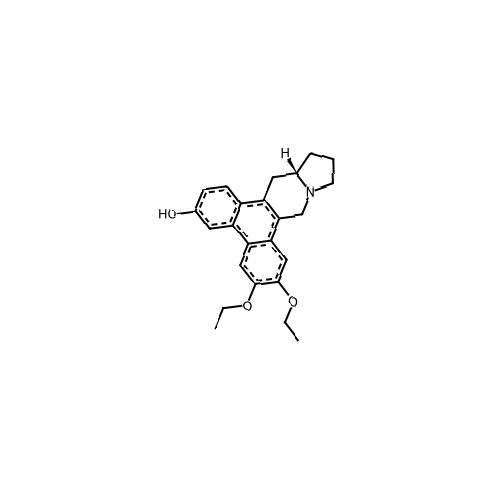 CCOc1cc2c3c(c4ccc(O)cc4c2cc1OCC)C[C@@H]1CCCN1C3